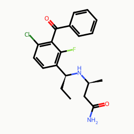 CC[C@H](N[C@@H](C)CC(N)=O)c1ccc(Cl)c(C(=O)c2ccccc2)c1F